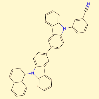 N#Cc1cccc(-n2c3ccccc3c3cc(-c4ccc5c(c4)c4ccccc4n5C4CC=CC5C=CC=CC54)ccc32)c1